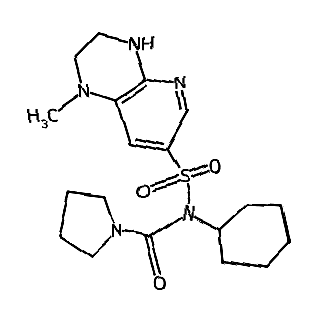 CN1CCNc2ncc(S(=O)(=O)N(C(=O)N3CCCC3)C3CCCCC3)cc21